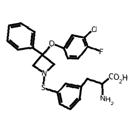 NC(Cc1cccc(SN2CC(Oc3ccc(F)c(Cl)c3)(c3ccccc3)C2)c1)C(=O)O